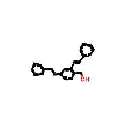 OCc1ccc(C=Cc2ccccc2)cc1C=Cc1ccccc1